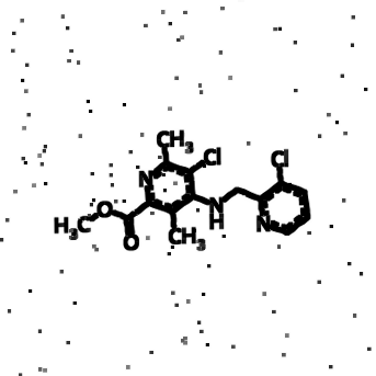 COC(=O)c1nc(C)c(Cl)c(NCc2ncccc2Cl)c1C